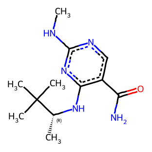 CNc1ncc(C(N)=O)c(N[C@H](C)C(C)(C)C)n1